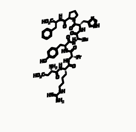 CC[C@H](C)[C@H](NC(=O)[C@H](Cc1ccc(O)cc1)NC(=O)[C@@H](NC(=O)[C@H](CCCCNC(=N)N)NC(=O)[C@@H](N)CC(=O)O)C(C)C)C(=O)N[C@@H](Cc1c[nH]cn1)C(=O)N1CCCC1C(=O)N[C@@H](Cc1ccccc1)C(=O)O